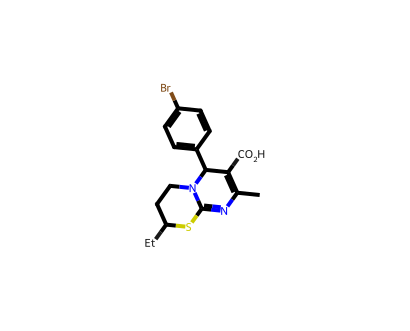 CCC1CCN2C(=NC(C)=C(C(=O)O)C2c2ccc(Br)cc2)S1